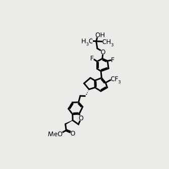 COC(=O)C[C@@H]1COc2cc(CC[C@@H]3CCc4c3ccc(C(F)(F)F)c4-c3cc(F)c(OCC(C)(C)O)c(F)c3)ccc21